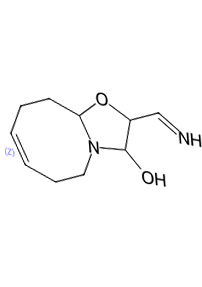 N=CC1OC2CC/C=C\CCN2C1O